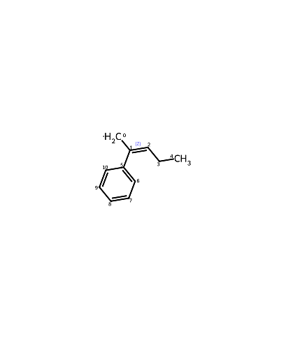 [CH2]/C(=C/CC)c1ccccc1